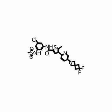 Cc1sc(C(=O)Nc2cc(Cl)cc(NS(C)(=O)=O)c2)cc1-c1ccc(N2CC3(C2)CC(F)(F)C3)cn1